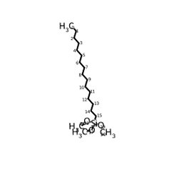 CCCCCCCCCCCCCCCC[Si](OC)(OC)OC